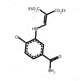 BC(=O)c1ccc(Cl)c(NC=C(C(=O)OCC)C(=O)OCC)c1